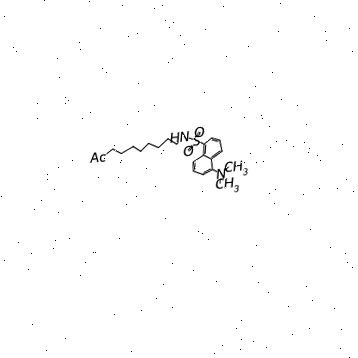 CC(=O)CCCCCCCCNS(=O)(=O)c1cccc2c(N(C)C)cccc12